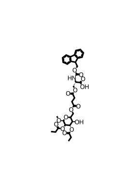 CCC(=O)OC1[C@@H](OC)OC(COC(=O)CCC(=O)OC[C@H](NC(=O)OCC2c3ccccc3-c3ccccc32)C(=O)O)[C@@H](O)[C@@H]1OC(=O)CC